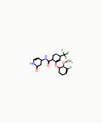 COC1C(F)=CCCC1OC1=CC(C(F)(F)F)CCC1C(=O)NC1C=CNC(=O)C1